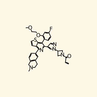 C=CC(=O)N1CC(n2cc(-c3nc(-c4ccc5c(c4)CCN(C)C5)c4ccsc4c3-c3ccc(F)cc3OCCOC)cn2)C1